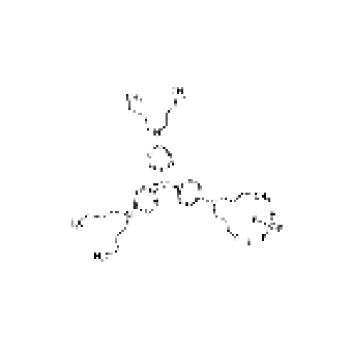 CCCCN(CCCC)c1ccc([NH+](c2ccc(N(CCCC)CCCC)cc2)c2ccc(N(CCCC)CCCC)cc2)cc1.F[B-](F)(F)F